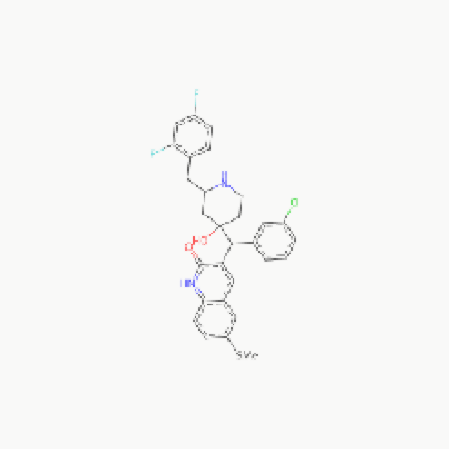 CSc1ccc2[nH]c(=O)c(C(c3cccc(Cl)c3)C3(O)CCNC(Cc4ccc(F)cc4F)C3)cc2c1